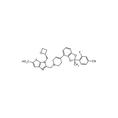 C[C@]1(c2ccc(C#N)cc2F)Oc2cccc(C3=CCN(Cc4nc5cc(C(=O)O)sc5n4C[C@@H]4CCO4)CC3)c2O1